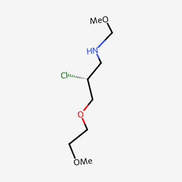 COCCOC[C@H](Cl)CNCOC